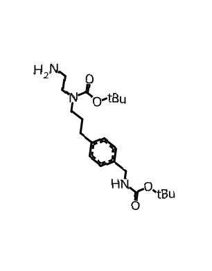 CC(C)(C)OC(=O)NCc1ccc(CCCN(CCN)C(=O)OC(C)(C)C)cc1